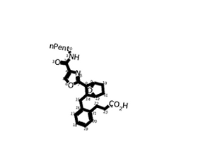 CCCCCNC(=O)c1coc(C2C3CCC(O3)C2Cc2ccccc2CCC(=O)O)n1